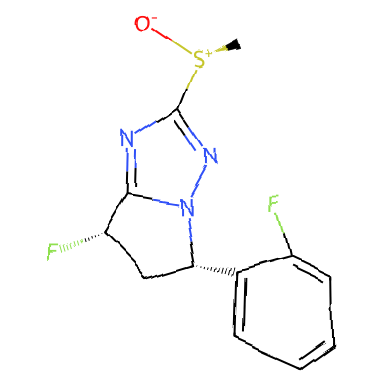 C[S@+]([O-])c1nc2n(n1)[C@H](c1ccccc1F)C[C@@H]2F